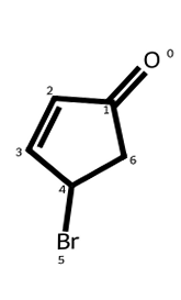 O=C1C=CC(Br)C1